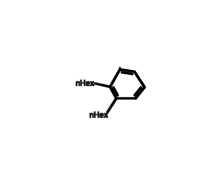 CCCCCCc1[c]cccc1CCCCCC